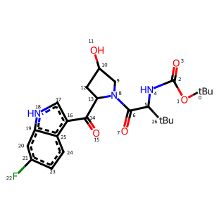 CC(C)(C)OC(=O)NC(C(=O)N1CC(O)CC1C(=O)c1c[nH]c2cc(F)ccc12)C(C)(C)C